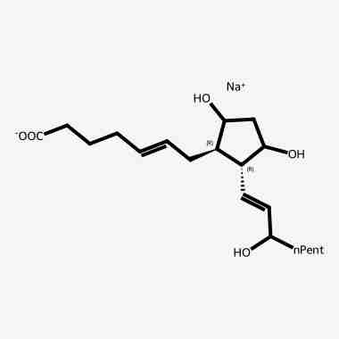 CCCCCC(O)C=C[C@H]1C(O)CC(O)[C@@H]1CC=CCCCC(=O)[O-].[Na+]